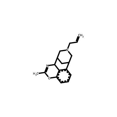 C=CCN1CC2CC(C1)C1N=C(C)Oc3cccc2c31